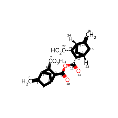 C=C1CC2CC1C(C(=O)O)C2C(=O)OC(=O)[C@H]1[C@H]2CC(=C)[C@H](C2)[C@H]1C(=O)O